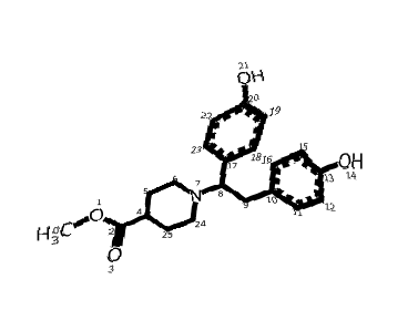 COC(=O)C1CCN(C(Cc2ccc(O)cc2)c2ccc(O)cc2)CC1